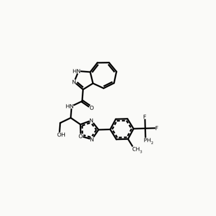 Cc1cc(-c2noc(C(CO)NC(=O)C3=NNC4=CC=CC=CC43)n2)ccc1C(F)(F)P